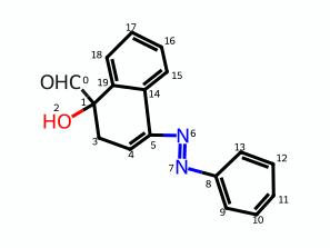 O=CC1(O)CC=C(N=Nc2ccccc2)c2ccccc21